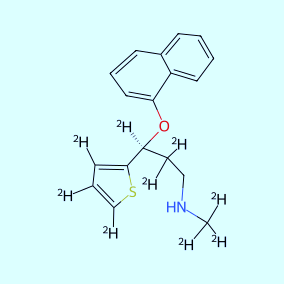 [2H]c1sc([C@@]([2H])(Oc2cccc3ccccc23)C([2H])([2H])CNC([2H])([2H])[2H])c([2H])c1[2H]